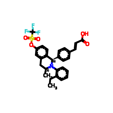 CCc1ccccc1N1[C@@H](c2ccc(C=CC(=O)O)cc2)c2ccc(OS(=O)(=O)C(F)(F)F)cc2C[C@@H]1C